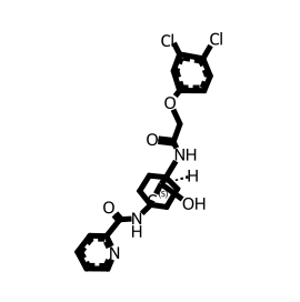 O=C(COc1ccc(Cl)c(Cl)c1)NC12CCC(NC(=O)c3ccccn3)(CC1)C[C@@H]2O